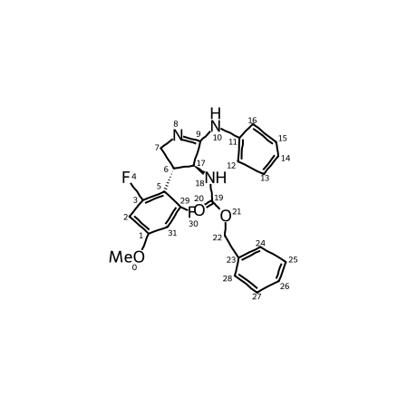 COc1cc(F)c([C@@H]2CN=C(Nc3ccccc3)[C@H]2NC(=O)OCc2ccccc2)c(F)c1